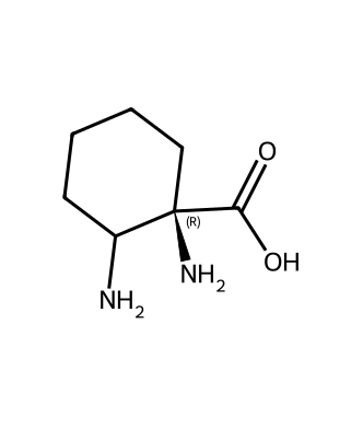 NC1CCCC[C@]1(N)C(=O)O